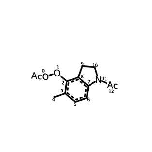 CC(=O)OOc1c(C)ccc2c1CCN2C(C)=O